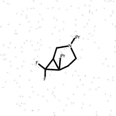 CC(C)N1CCC2(C(C)C)C(C1)C2(F)F